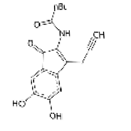 C#CCC1=C(NC(=O)CCCC)C(=O)c2cc(O)c(O)cc21